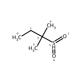 CCC(C)(C)[SH](=O)=O